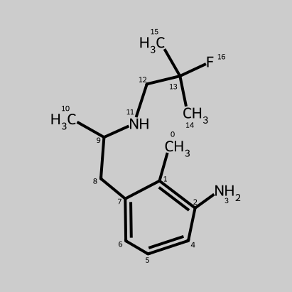 Cc1c(N)cccc1CC(C)NCC(C)(C)F